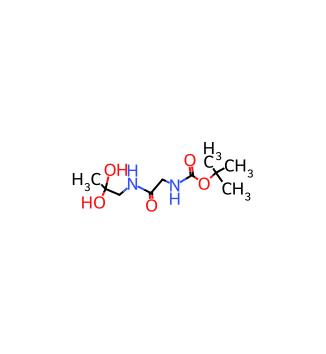 CC(O)(O)CNC(=O)CNC(=O)OC(C)(C)C